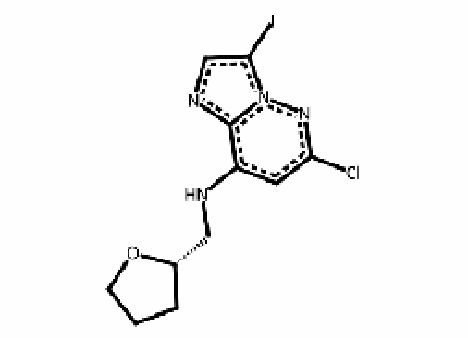 Clc1cc(NC[C@@H]2CCCO2)c2ncc(I)n2n1